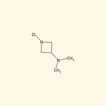 CN(C)C1CN(Cl)C1